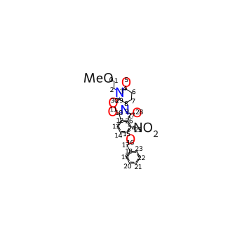 COCCN1C(=O)CCC(N2C(=O)c3ccc(OCc4ccccc4)c([N+](=O)[O-])c3C2=O)C1=O